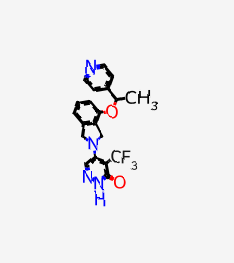 CC(Oc1cccc2c1CN(c1cn[nH]c(=O)c1C(F)(F)F)C2)c1ccncc1